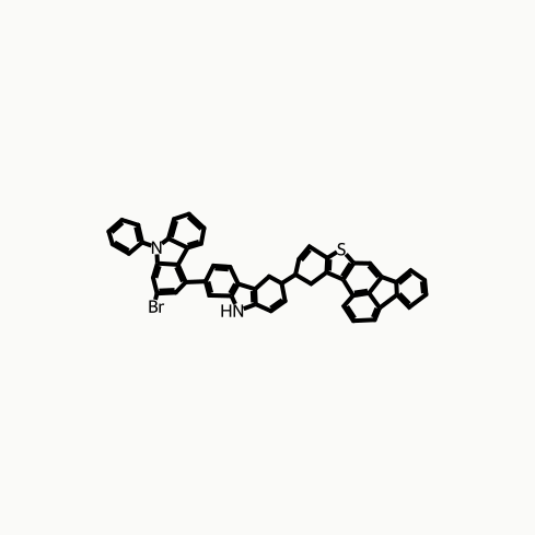 Brc1cc(-c2ccc3c4c([nH]c3c2)C=CC(C2C=Cc3sc5cc6c7c(cccc7c5c3C2)-c2ccccc2-6)C4)c2c3ccccc3n(-c3ccccc3)c2c1